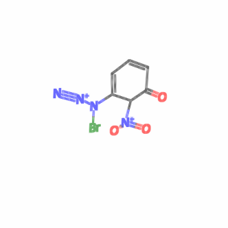 N#[N+]N(Br)C1=CC=CC(=O)C1[N+](=O)[O-]